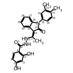 CC(NNC(=O)c1ccc(O)cc1O)=C1C(=O)N(c2ccc(C)c(C)c2)c2ccccc21